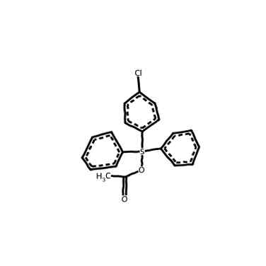 CC(=O)OS(c1ccccc1)(c1ccccc1)c1ccc(Cl)cc1